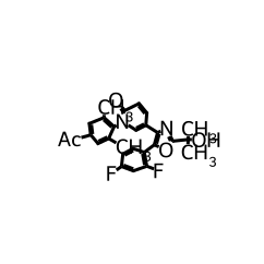 CC(=O)c1cc(C)c(-n2cc(-c3nc(C(C)(C)O)oc3-c3ccc(F)cc3F)ccc2=O)c(C)c1